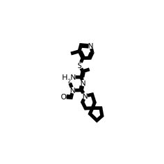 C/C(Sc1ccncc1C)=C(N)\N=C(/N(C)C=O)N1CCC2(CCCC2)CC1